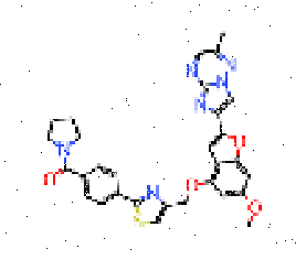 COc1cc(OCc2csc(-c3ccc(C(=O)N4CCCC4)cc3)n2)c2cc(-c3cn4nc(C)cnc4n3)oc2c1